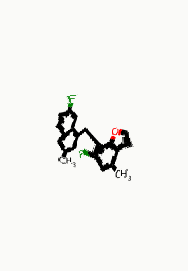 Cc1cc(Cc2c(F)cc(C)c3ccoc23)c2cc(F)ccc2c1